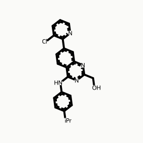 CC(C)c1ccc(Nc2nc(CO)nc3cc(-c4ncccc4Cl)ccc23)cc1